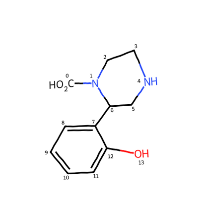 O=C(O)N1CCNCC1c1ccccc1O